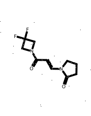 O=C1CCCN1C=CC(=O)N1CC(F)(F)C1